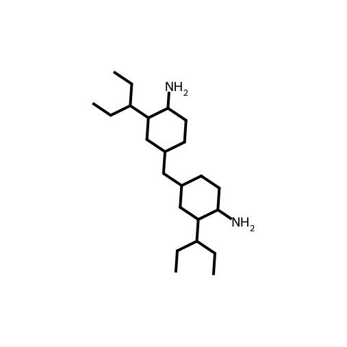 CCC(CC)C1CC(CC2CCC(N)C(C(CC)CC)C2)CCC1N